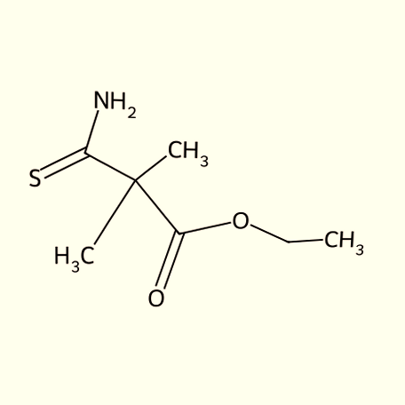 CCOC(=O)C(C)(C)C(N)=S